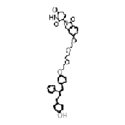 O=C1CCC(N2Cc3cc(OCCOCCOCCOc4ccc(/C=C(/CCc5ccc(O)cc5)c5ccccc5)cc4)ccc3C2=O)C(=O)N1